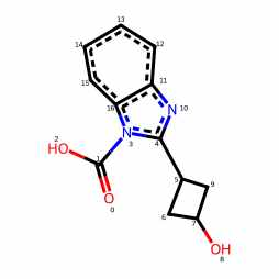 O=C(O)n1c(C2CC(O)C2)nc2ccccc21